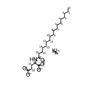 CCCCCCCCCCCCCCCCCC(=O)NC(CCC(=O)[O-])C(=O)[O-].[K+].[K+]